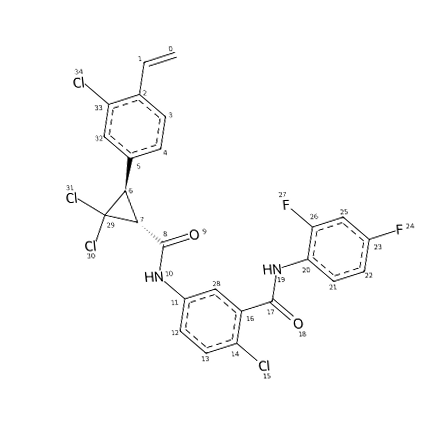 C=Cc1ccc([C@H]2[C@H](C(=O)Nc3ccc(Cl)c(C(=O)Nc4ccc(F)cc4F)c3)C2(Cl)Cl)cc1Cl